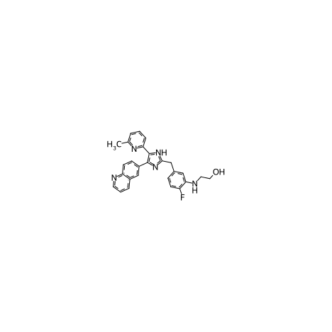 Cc1cccc(-c2[nH]c(Cc3ccc(F)c(NCCO)c3)nc2-c2ccc3ncccc3c2)n1